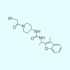 Cc1c(C(C)NC(=O)NC2CCN(C(=O)CC(C)C)CC2)oc2ccccc12